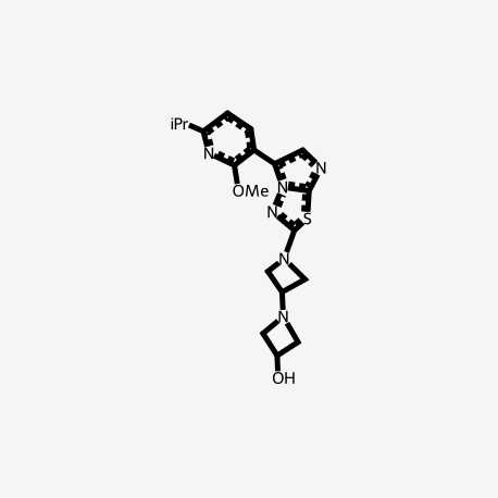 COc1nc(C(C)C)ccc1-c1cnc2sc(N3CC(N4CC(O)C4)C3)nn12